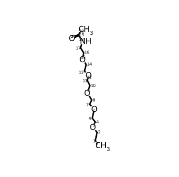 CCCOCCOCCOCCOCCOCCNC(C)=O